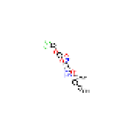 COC(=O)[C@H](Cc1ccc(-c2ccc(C#N)cc2)cc1)NC(=O)C1Cc2cc3c(cc2CN1)O[C@@H](c1ccc(OCc2ccc(Cl)c(Cl)c2)cc1)C(=O)N3C